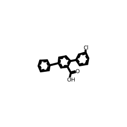 O=C(O)c1cc(-c2ccccc2)ccc1-c1cccc(Cl)c1